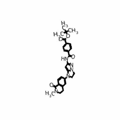 CN1CCc2cc(N3CCn4nc(NC(=O)c5ccc(C(=O)OC(C)(C)C)cc5)cc43)ccc2C1=O